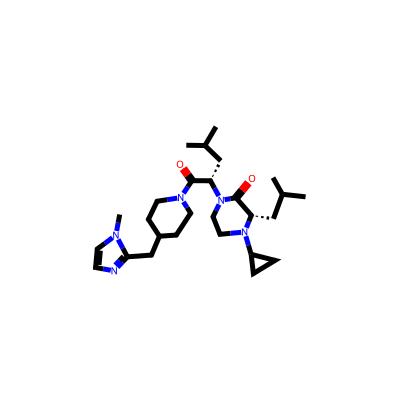 CC(C)C[C@@H](C(=O)N1CCC(Cc2nccn2C)CC1)N1CCN(C2CC2)[C@@H](CC(C)C)C1=O